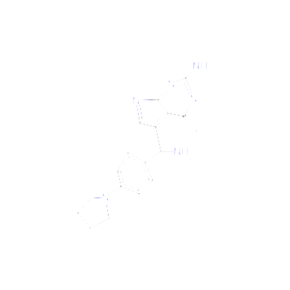 NC1=NC(=O)C2=C(C(N)c3ccc(N4CCCC4)cc3)C=NC2=N1